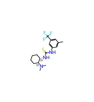 Cc1cc(NC(=S)N[C@H]2CCCC[C@@H]2N(C)C)cc(C(F)(F)F)c1